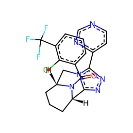 O=C(c1cccc(C(F)(F)F)c1Cl)N1[C@@H]2CCC[C@H]1c1nnc(-c3ccncn3)n1C2